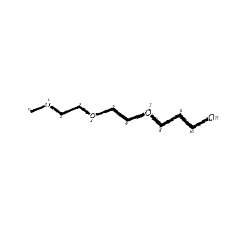 COCCOCCOCCCCl